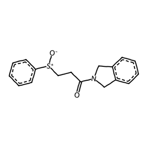 O=C(CC[S+]([O-])c1ccccc1)N1Cc2ccccc2C1